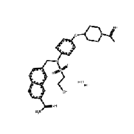 CC(=N)N1CCC(Oc2ccc(N(Cc3ccc4ccc(C(=N)N)cc4c3)S(=O)(=O)CCO)cc2)CC1.Cl.Cl